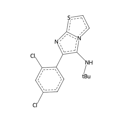 CC(C)(C)Nc1c(-c2ccc(Cl)cc2Cl)nc2sccn12